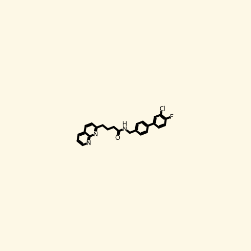 O=C(CCCc1ccc2cccnc2n1)NCc1ccc(-c2ccc(F)c(Cl)c2)cc1